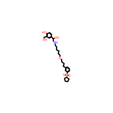 O=S(=O)(c1cccc(CCCCOCCCCCCNCC(O)c2ccc(O)c(CO)c2)c1)C1CCCC1